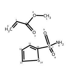 C=CC(=O)OC.NS(=O)(=O)c1cccs1